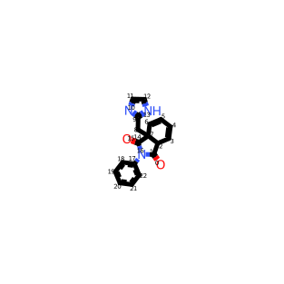 O=C1C2C=CC=CC2(Cc2ncc[nH]2)C(=O)N1c1ccccc1